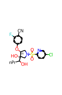 CCCC(O)[C@]1(O)CN(S(=O)(=O)c2ccc(Cl)cn2)C[C@@H]1Oc1ccc(C#N)c(F)c1